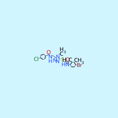 CCn1c(CNC(=O)c2ccc(Cl)cc2)nnc1SCC(=O)Nc1ccc(Br)c(C)c1C